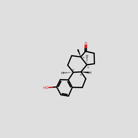 C[C@]12CC[C@@H]3c4cc(O)ccc4CC[C@H]3[C@@H]1CCC2=O